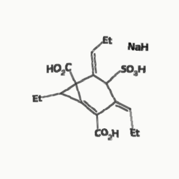 CCC=C1C(C(=O)O)=C2C(CC)C2(C(=O)O)C(=CCC)C1S(=O)(=O)O.[NaH]